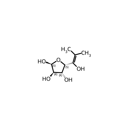 CC(C)=C(O)[C@H]1O[C@H](O)[C@H](O)[C@H]1O